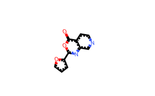 O=c1oc(-c2ccco2)nc2cnccc12